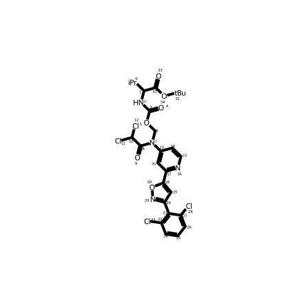 CC(C)C(NC(=O)OCN(C(=O)C(Cl)Cl)c1ccnc(-c2cc(-c3c(Cl)cccc3Cl)no2)c1)C(=O)OC(C)(C)C